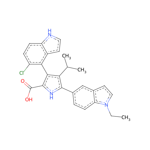 CCn1ccc2cc(-c3[nH]c(C(=O)O)c(-c4c(Cl)ccc5[nH]ccc45)c3C(C)C)ccc21